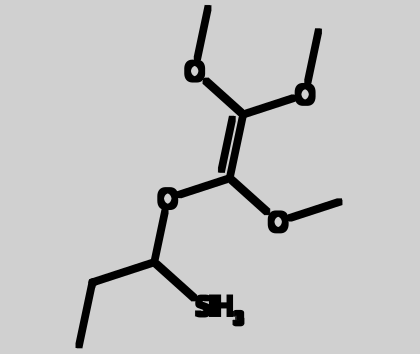 CCC([SiH3])OC(OC)=C(OC)OC